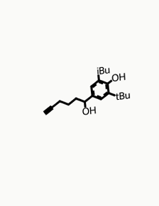 C#CCCCC(O)c1cc(C(C)CC)c(O)c(C(C)(C)C)c1